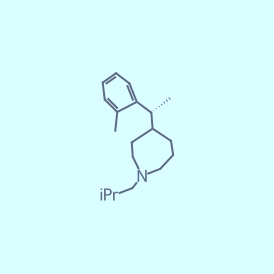 Cc1ccccc1[C@H](C)C1CCCN(CC(C)C)CC1